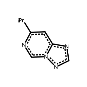 CC(C)c1cc2ncnn2cn1